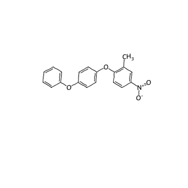 Cc1cc([N+](=O)[O-])ccc1Oc1ccc(Oc2ccccc2)cc1